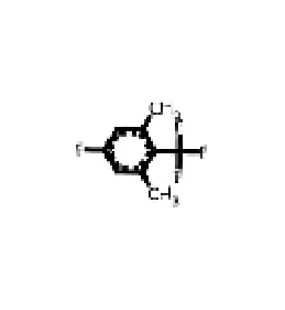 Cc1cc(F)cc(C)c1C(F)(F)F